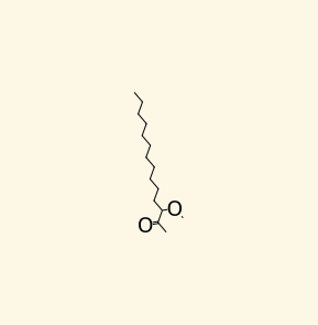 CCCCCCCCCCCC(OC)C(C)=O